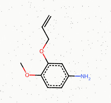 C=CCOc1cc(N)ccc1OC